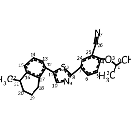 CC(C)Oc1ccc(-c2ncc(-c3cccc4c3CCCC4C)s2)cc1C#N